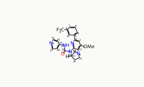 COc1cc(-c2cccc(C(F)(F)F)c2)nc2c1N1CC[C@@H](C1)N2C(=O)Nc1ccncc1